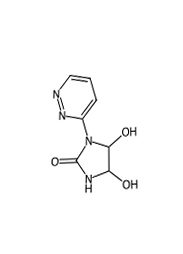 O=C1NC(O)C(O)N1c1cccnn1